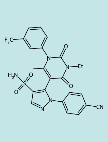 CCn1c(=O)c(-c2c(S(N)(=O)=O)cnn2-c2ccc(C#N)cc2)c(C)n(-c2cccc(C(F)(F)F)c2)c1=O